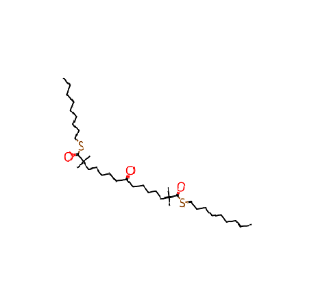 CCCCCCCCCSC(=O)C(C)(C)CCCCCC(=O)CCCCCC(C)(C)C(=O)SCCCCCCCCC